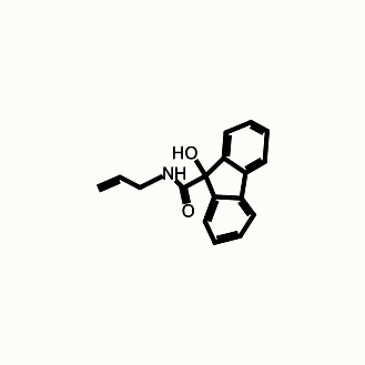 C=CCNC(=O)C1(O)c2ccccc2-c2ccccc21